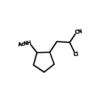 CC(=O)NC1CCCC1CC(Cl)C#N